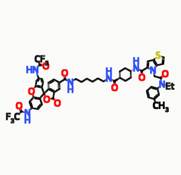 CCN(C(=O)Cn1c(C(=O)N[C@H]2CC[C@H](C(=O)NCCCCCCNC(=O)c3ccc4c(c3)C(=O)OC43c4ccc(NC(=O)C(F)(F)F)cc4Oc4cc(NC(=O)C(F)(F)F)ccc43)CC2)cc2sccc21)c1cccc(C)c1